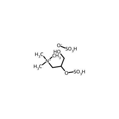 C[N+](C)(C)CC(CO)OS(=O)(=O)O.O=S(=O)([O-])O